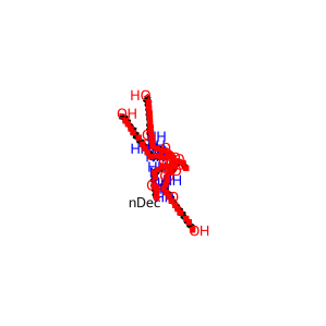 C#CCOC(=O)C(C)(COC(=O)C(C)(COC(=O)NCCCN(C)CCCNC(=O)CCCCCCCCCCCCCCCC)COC(=O)NCCCN(C)CCCNC(=O)CCCCCCCCCCCCCCCO)COC(=O)C(C)(COC(=O)NCCCN(C)CCCNC(=O)CCCCCCCCCCCCCCCO)COC(=O)NCCCN(C)CCCNC(=O)CCCCCCCCCCCCCCCO